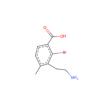 Cc1ccc(C(=O)O)c(Br)c1CCN